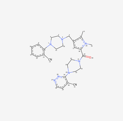 Cc1c(CN2CCN(c3ccccc3C#N)CC2)cc(C(=O)N2CCN(c3nnccc3C#N)CC2)n1C